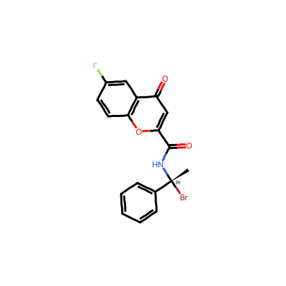 C[C@](Br)(NC(=O)c1cc(=O)c2cc(F)ccc2o1)c1ccccc1